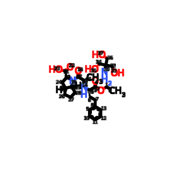 CCOC(=O)[C@H](CCc1ccccc1)N[C@@H](C)C(=O)N1[C@H](C(=O)O)C[C@@H]2CCC[C@@H]21.NC(CO)(CO)CO